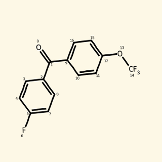 O=C(c1ccc(F)cc1)c1ccc(OC(F)(F)F)cc1